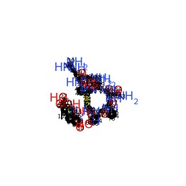 C[C@@H]1C[C@H]2[C@@H]3CCC4=CC(=O)C=C[C@]4(C)[C@@]3(F)[C@@H](O)C[C@]2(C)[C@@]1(O)C(=O)CO.N=C(N)NCCC[C@H](NC(=O)[C@@H]1CCCN1C(=O)[C@@H]1CSSC[C@H](N)C(=O)N[C@@H](Cc2ccc(O)cc2)C(=O)N[C@@H](Cc2ccccc2)C(=O)N[C@@H](CCC(N)=O)C(=O)N[C@@H](CC(N)=O)C(=O)N1)C(=O)NCC(N)=O